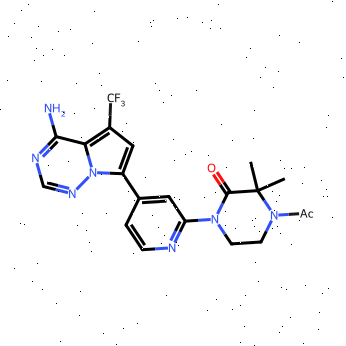 CC(=O)N1CCN(c2cc(-c3cc(C(F)(F)F)c4c(N)ncnn34)ccn2)C(=O)C1(C)C